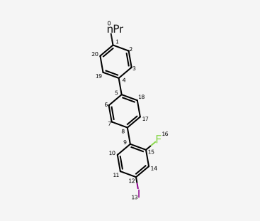 CCCc1ccc(-c2ccc(-c3ccc(I)cc3F)cc2)cc1